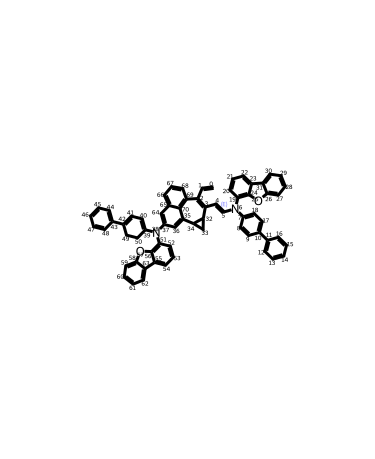 C=CC1=C(/C=C/N(c2ccc(-c3ccccc3)cc2)c2cccc3c2oc2ccccc23)C2CC2c2cc(N(C3=CC=C(c4ccccc4)CC3)c3cccc4c3oc3ccccc34)cc3cccc1c23